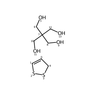 C1=CSSC1.OCC(CO)(CO)CO